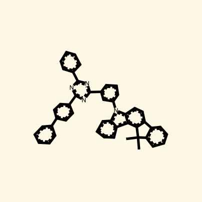 CC1(C)c2ccccc2-c2ccc3c(c21)c1ccccc1n3-c1cccc(-c2nc(-c3ccccc3)nc(-c3ccc(-c4ccccc4)cc3)n2)c1